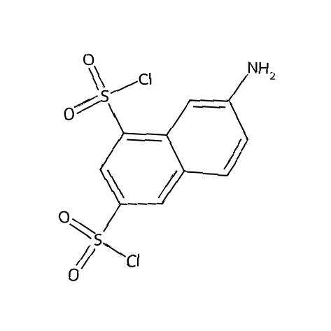 Nc1ccc2cc(S(=O)(=O)Cl)cc(S(=O)(=O)Cl)c2c1